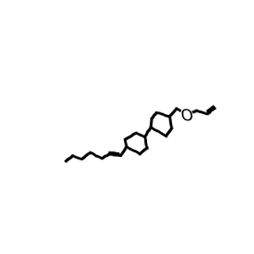 C=CCOCC1CCC(C2CCC(C=CCCCCC)CC2)CC1